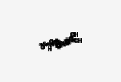 CC(=O)SCCNC(=O)C[n+]1cccc2c(/N=N/c3ccc(N(CCO)CCO)cc3)cccc21